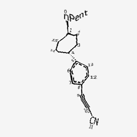 CCCCC[C@H]1CC[C@H](c2ccc(C#CC#N)cc2)CC1